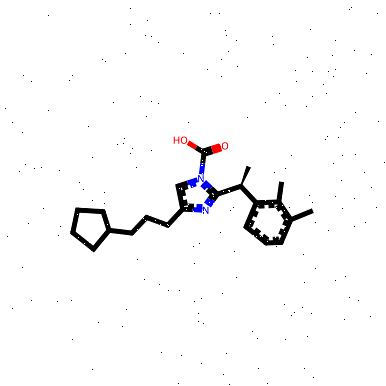 Cc1cccc([C@H](C)c2nc(CCCC3CCCC3)cn2C(=O)O)c1C